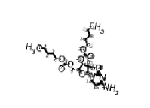 CCCCCOC(=O)OC[C@H]1O[C@@H](n2ccc(N)nc2=O)C(F)(F)[C@@H]1OC(=O)OCCCCC